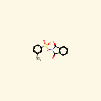 O=C1c2ccccc2C(=O)N1OS(=O)(=O)c1cccc([N+](=O)[O-])c1